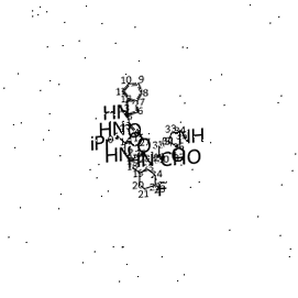 CC(C)C(NC(=O)c1cc2ccccc2[nH]1)C(=O)N[C@@H](CC1CCC(F)CC1)C(=O)N[C@H](C=O)C[C@@H]1CCNC1=O